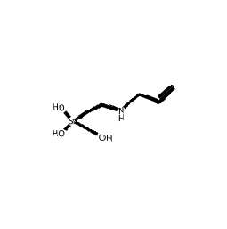 C=CCNC[Si](O)(O)O